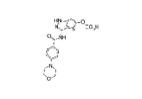 O=C(O)Oc1cc2[nH]nc(NC(=O)c3ccc(N4CCOCC4)cc3)c2s1